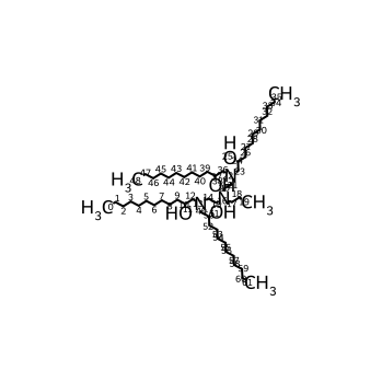 CCCCCCCCCCC(O)CN(CCN(CCC)CCN(CC(O)CCCCCCCCCC)CC(O)CCCCCCCCCC)CC(O)CCCCCCCCCC